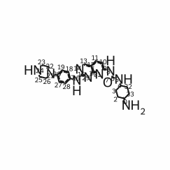 NC1CCC(NC(=O)Nc2ccc3cnc(Nc4ccc(N5CCNCC5)cc4)nc3n2)CC1